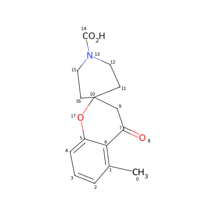 Cc1cccc2c1C(=O)CC1(CCN(C(=O)O)CC1)O2